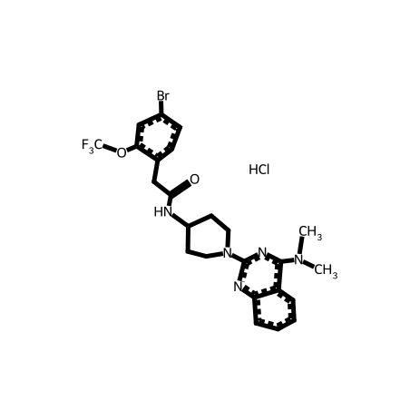 CN(C)c1nc(N2CCC(NC(=O)Cc3ccc(Br)cc3OC(F)(F)F)CC2)nc2ccccc12.Cl